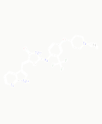 CN1CCC(Oc2ccc(N=C3NC(=O)C(=Cc4c[nH]c5ncccc45)S3)c(C(F)(F)F)c2)CC1